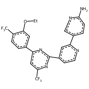 CCOc1cc(-c2cc(C(F)(F)F)nc(-c3ccnc(-c4ccc(N)nc4)c3)n2)ccc1C(F)(F)F